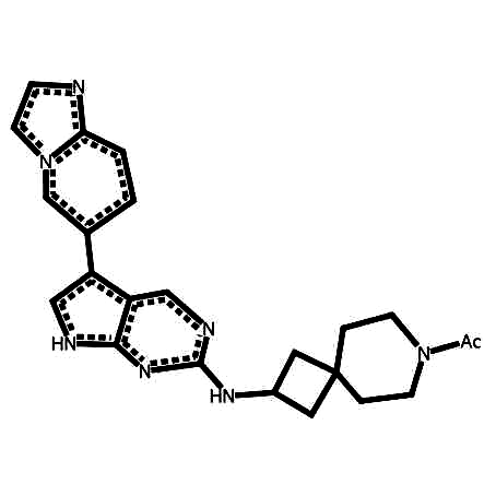 CC(=O)N1CCC2(CC1)CC(Nc1ncc3c(-c4ccc5nccn5c4)c[nH]c3n1)C2